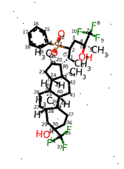 C[C@H](C(C[C@](C)(O)C(F)(F)F)S(=O)(=O)c1ccccc1)[C@H]1[C@@H](C)C[C@H]2[C@@H]3CC[C@H]4C[C@](O)(C(F)(F)F)CC[C@]4(C)[C@H]3CC[C@]12C